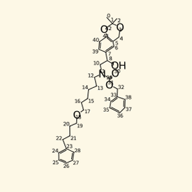 CC1(C)OCc2cc(C(O)CN(CCCCCCOCCCCc3ccccc3)C(=O)OCc3ccccc3)ccc2O1